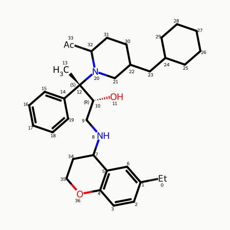 CCc1ccc2c(c1)C(NC[C@@H](O)[C@](C)(c1ccccc1)N1CC(CC3CCCCC3)CCC1C(C)=O)CCO2